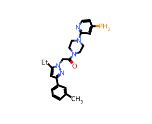 CCc1cc(-c2cccc(C)c2)nn1CC(=O)N1CCN(c2cc(P)ccn2)CC1